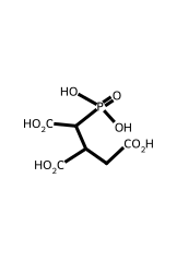 O=C(O)CC(C(=O)O)C(C(=O)O)P(=O)(O)O